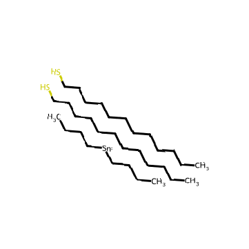 CCCCCCCCCCCCS.CCCCCCCCCCCCS.CCC[CH2][Sn][CH2]CCC